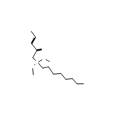 CC=CC(=O)C[Si](CCCCCCCC)(OC)OC